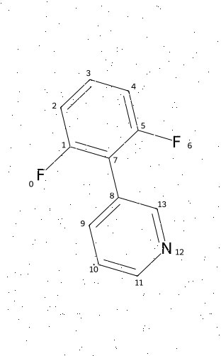 Fc1cccc(F)c1-c1c[c]cnc1